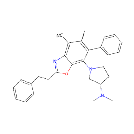 Cc1c(-c2ccccc2)c(N2CC[C@H](N(C)C)C2)c2oc(CCc3ccccc3)nc2c1C#N